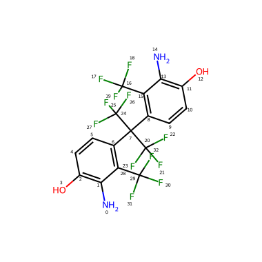 Nc1c(O)ccc(C(c2ccc(O)c(N)c2C(F)(F)F)(C(F)(F)F)C(F)(F)F)c1C(F)(F)F